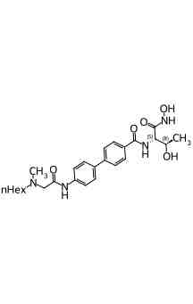 CCCCCCN(C)CC(=O)Nc1ccc(-c2ccc(C(=O)N[C@H](C(=O)NO)[C@@H](C)O)cc2)cc1